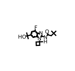 CC(C)(C)CC(=O)Nc1nc2c(F)cc(C(C)(C)O)cc2n1C1(C)CCC1